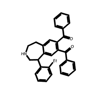 CCc1ccccc1C1CNCCc2cc(C(=O)c3ccccc3)c(C(=O)c3ccccc3)cc21